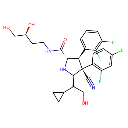 N#C[C@@]1(c2ccc(Cl)cc2F)[C@@H](C(CO)C2CC2)N[C@H](C(=O)NCC[C@H](O)CO)[C@H]1c1cccc(Cl)c1F